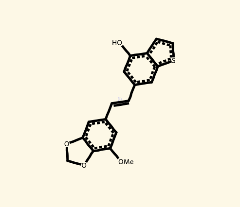 COc1cc(/C=C/c2cc(O)c3ccsc3c2)cc2c1OCO2